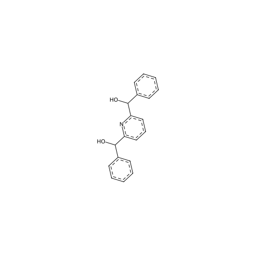 OC(c1ccccc1)c1cccc(C(O)c2ccccc2)n1